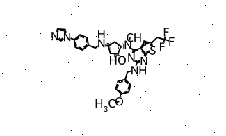 COc1ccc(CNc2nc(N(C)[C@H]3C[C@@H](NCc4ccc(-n5ccnc5)cc4)C[C@H]3O)c3cc(CC(F)(F)F)sc3n2)cc1